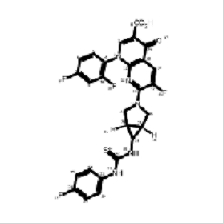 O=C(O)c1cn(-c2ccc(F)cc2F)c2nc(N3C[C@@H]4C(NC(=S)Nc5ccc(F)cc5)[C@@H]4C3)c(F)cc2c1=O